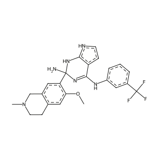 COc1cc2c(cc1C1(N)N=C(Nc3cccc(C(F)(F)F)c3)c3cc[nH]c3N1)CN(C)CC2